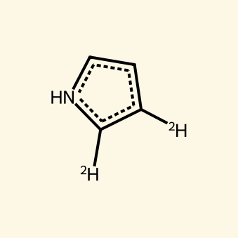 [2H]c1cc[nH]c1[2H]